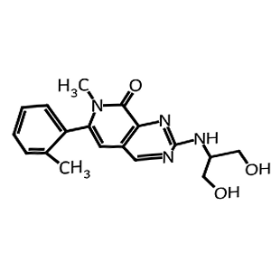 Cc1ccccc1-c1cc2cnc(NC(CO)CO)nc2c(=O)n1C